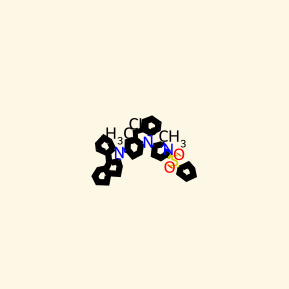 Cc1nc(S(=O)(=O)c2ccccc2)ccc1N1c2ccccc2C(C)(C)c2cc(-n3c4ccccc4c4c5ccccc5ccc43)ccc21